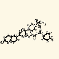 COc1ccc2cc(C(=O)NC(CCN[C@H]3C[C@@H]3c3ccc(F)cc3)C(=O)N3CCN(S(C)(=O)=O)CC3)ccc2c1